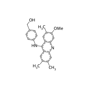 COc1cc2nc3cc(C)c(C)cc3c(Nc3ccc(CO)cc3)c2cc1C